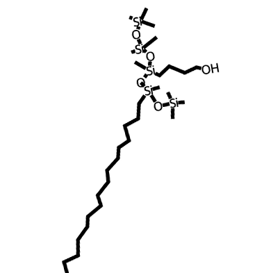 CCCCCCCCCCCCCCCC[Si](C)(O[Si](C)(C)C)O[Si](C)(CCCCO)O[Si](C)(C)O[Si](C)(C)C